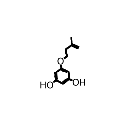 C=C(C)CCOc1cc(O)cc(O)c1